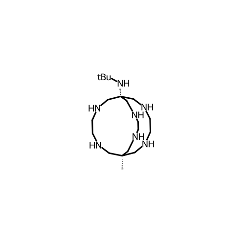 CC(C)(C)N[C@]12CNCCNC[C@](C)(CNCCNC1)CNCCNC2